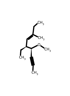 CC#C[C@H](OC)[C@H](/C=C(\C)CC)CC